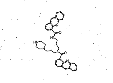 O=C(NCCCN(CCCN1CCNCC1)C(=O)c1cccc2cc3ccccc3nc12)c1cccc2cc3ccccc3nc12